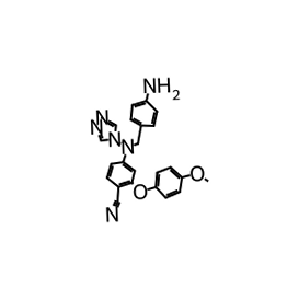 COc1ccc(Oc2cc(N(Cc3ccc(N)cc3)n3cnnc3)ccc2C#N)cc1